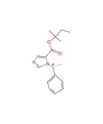 CCC(C)(C)OC(=O)c1cncn1[C@H](C)c1ccccc1